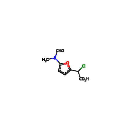 CN(C=O)c1ccc(C(Cl)C(=O)O)o1